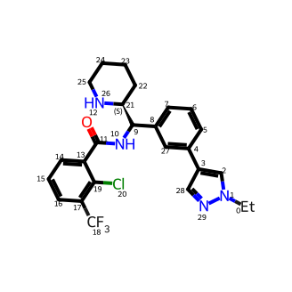 CCn1cc(-c2cccc(C(NC(=O)c3cccc(C(F)(F)F)c3Cl)[C@@H]3CCCCN3)c2)cn1